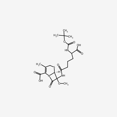 COC1(NC(=O)CCCC(NC(=O)OC(C)(C)C)C(=O)O)C(=O)N2C(C(=O)O)=C(C)CS[C@H]21